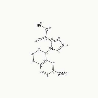 COc1ccc2c(c1)C(n1cncc1C(=O)OC(C)C)CCC2